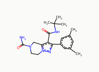 Cc1cc(C)cc(-c2nn3c(c2C(=O)NC(C)(C)C)CN(C(N)=O)CC3)c1